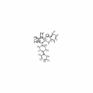 Cc1cccc(Cc2c(=O)[nH]c(=O)[nH]c2[C@H]2CC[C@H](C3C=CC=CC3)CC2)c1